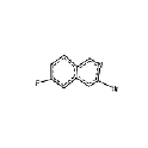 Fc1ccc2cnc(Br)cc2c1